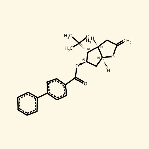 C=C1C[C@@H]2[C@@H](C(C)(C)C)[C@H](OC(=O)c3ccc(-c4ccccc4)cc3)C[C@@H]2O1